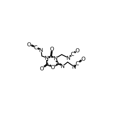 O=C=NC/N=c1/oc(=O)n(CN=C=O)c(=O)n1CN=C=O